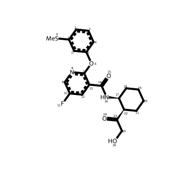 CSc1cccc(Oc2ncc(F)cc2C(=O)N[C@H]2CCCC[C@H]2C(=O)CO)c1